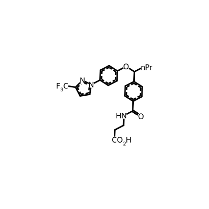 CCCC(Oc1ccc(-n2ccc(C(F)(F)F)n2)cc1)c1ccc(C(=O)NCCC(=O)O)cc1